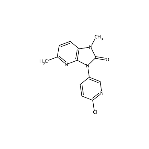 Cc1ccc2c(n1)n(-c1ccc(Cl)nc1)c(=O)n2C